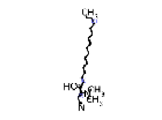 CC/C=C\CCCCCCCCCC/C=C/[C@@H](O)/C(=C/C#N)N(C)C